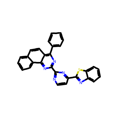 c1ccc(-c2nc(-c3nccc(-c4nc5ccccc5s4)n3)nc3c2ccc2ccccc23)cc1